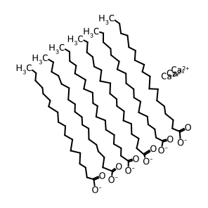 CCCCCCCCCCCCCCCCCC(=O)[O-].CCCCCCCCCCCCCCCCCC(=O)[O-].CCCCCCCCCCCCCCCCCC(=O)[O-].CCCCCCCCCCCCCCCCCC(=O)[O-].CCCCCCCCCCCCCCCCCC(=O)[O-].CCCCCCCCCCCCCCCCCC(=O)[O-].[Ca+2].[Ca+2].[Ca+2]